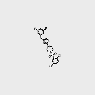 O=S(=O)(c1cc(Cl)ccc1Cl)N1CCN(c2nc(Cc3cc(F)cc(F)c3)cs2)CC1